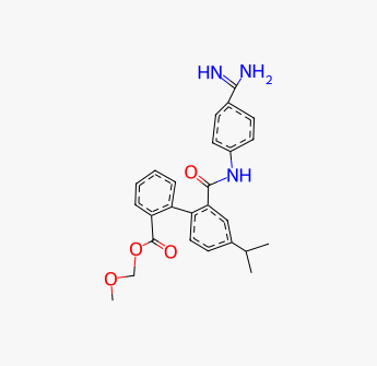 COCOC(=O)c1ccccc1-c1ccc(C(C)C)cc1C(=O)Nc1ccc(C(=N)N)cc1